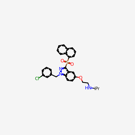 CC(C)NCCOc1ccc2c(c1)c(S(=O)(=O)c1cccc3ccccc13)nn2Cc1cccc(Cl)c1